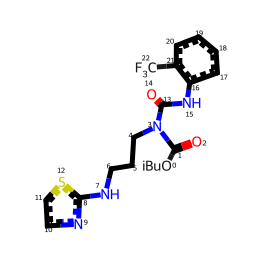 CC(C)COC(=O)N(CCCNc1nccs1)C(=O)Nc1ccccc1C(F)(F)F